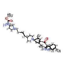 CCc1cc2c(cc1N1CCC(CCCCN3CC[C@@H](NC(=O)OC(C)(C)C)C3)CC1)C(C)(C)c1[nH]c3cc(C#N)ccc3c1C2=O